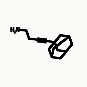 NCCC#CC12CC3CC(CC(C3)C1)C2